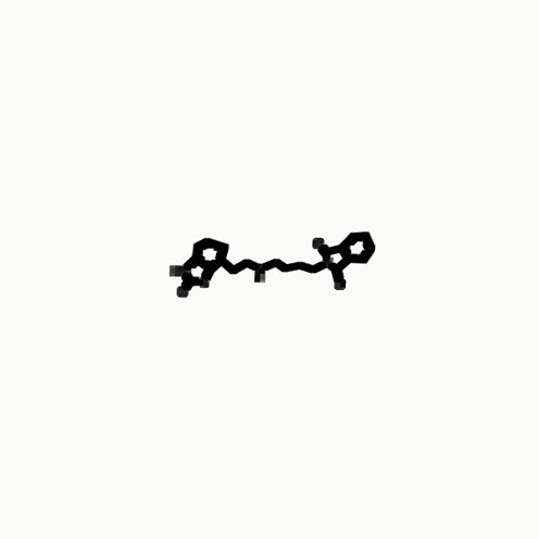 O=C1c2ccccc2C(=O)N1CCCCNCCc1cccc2[nH]c(=O)sc12